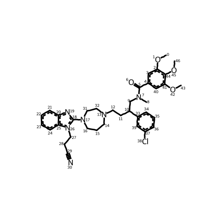 COc1cc(C(=O)N(C)CC(CCN2CCCN(c3nc4ccccc4n3CCC#N)CC2)c2cccc(Cl)c2)cc(OC)c1OC